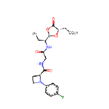 CC(C)C[C@H](NC(=O)CNC(=O)[C@@H]1CCN1c1ccc(F)cc1)B1OC(=O)[C@H](CC(=O)O)O1